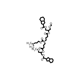 COCC(COC(=O)C1CC2CCCCC2C1)OC(=O)CCCN(CCCC(=O)OC(COC=O)COC(=O)C1CC2CCCCC2C1)C(=O)SCCCN(C)C